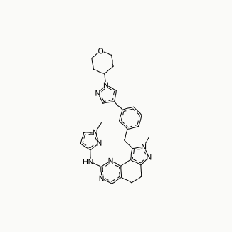 Cn1ccc(Nc2ncc3c(n2)-c2c(nn(C)c2Cc2cccc(-c4cnn(C5CCOCC5)c4)c2)CC3)n1